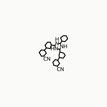 N#CC1CCCC(C2CCCC(C3NC(C4CCCCC4)NC(C4CCCC(C5CCCC(C#N)C5)C4)N3)C2)C1